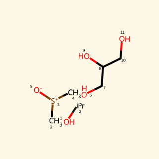 CC(C)O.C[S+](C)[O-].OCC(O)CO